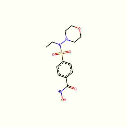 CCN(N1CCOCC1)S(=O)(=O)c1ccc(C(=O)NO)cc1